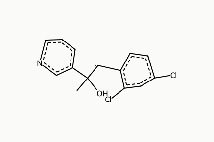 CC(O)([CH]c1ccc(Cl)cc1Cl)c1cccnc1